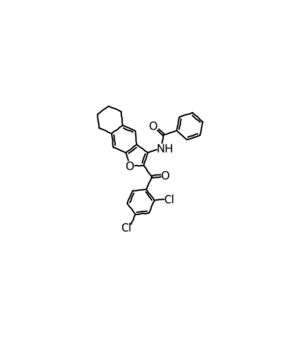 O=C(Nc1c(C(=O)c2ccc(Cl)cc2Cl)oc2cc3c(cc12)CCCC3)c1ccccc1